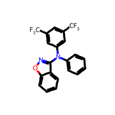 FC(F)(F)c1cc(N(c2ccccc2)c2noc3ccccc23)cc(C(F)(F)F)c1